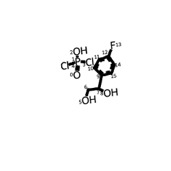 O=P(O)(Cl)Cl.OCC(O)c1ccc(F)cc1